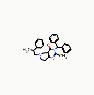 Cc1nc2c(c(=O)n1C(c1ccccc1)c1ccccc1)CN(CC(C)c1ccccc1)CC2